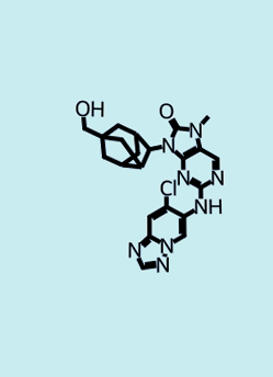 Cn1c(=O)n(C2C3CC4CC(CO)(C3)CC42)c2nc(Nc3cn4ncnc4cc3Cl)ncc21